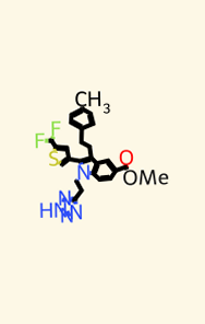 COC(=O)c1ccc2c(c1)c(CCc1ccc(C)cc1)c(-c1csc(C(F)F)c1)n2CCc1nn[nH]n1